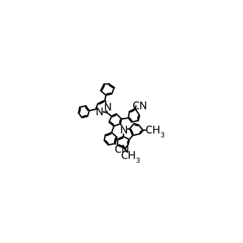 Cc1ccc2c(c1)c1cc(C)ccc1n2-c1c(-c2cccc(C#N)c2)cc(-c2nc(-c3ccccc3)cc(-c3ccccc3)n2)cc1-c1cccc(C#N)c1